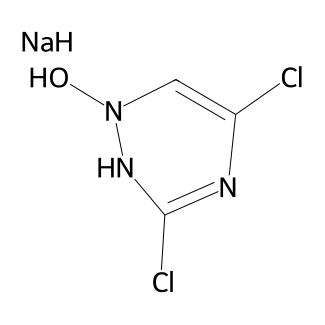 ON1C=C(Cl)N=C(Cl)N1.[NaH]